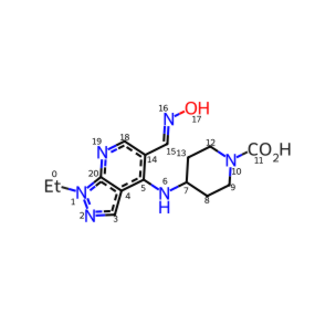 CCn1ncc2c(NC3CCN(C(=O)O)CC3)c(C=NO)cnc21